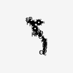 CC(=O)OCON=NN1CC(COC(=O)NS(=O)(=O)c2ccc(-n3nc(C(F)(F)F)cc3-c3ccc(C)cc3)cc2)C1